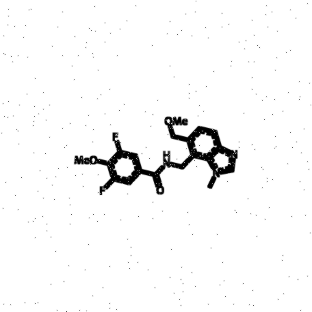 COCc1ccc2ncn(C)c2c1CNC(=O)c1cc(F)c(OC)c(F)c1